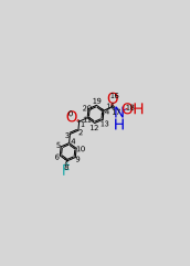 O=C(C=Cc1ccc(F)cc1)c1ccc(C(=O)NO)cc1